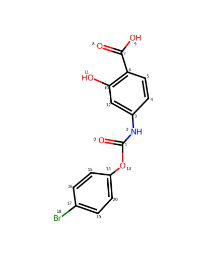 O=C(Nc1ccc(C(=O)O)c(O)c1)Oc1ccc(Br)cc1